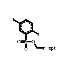 CCCCCCCCOS(=O)(=O)c1cc(I)ccc1I